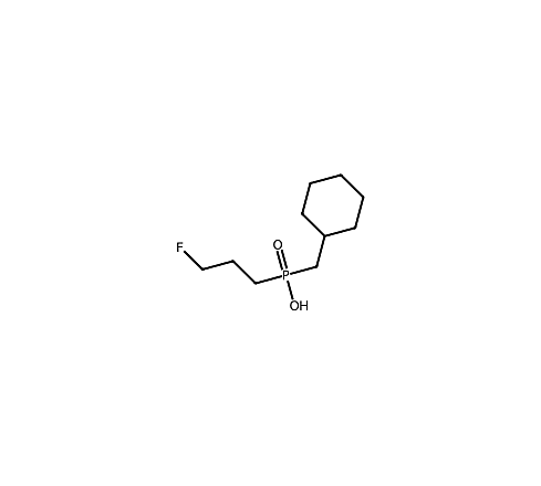 O=P(O)(CCCF)CC1CCCCC1